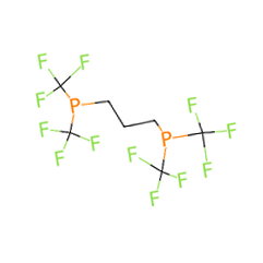 FC(F)(F)P(CCCP(C(F)(F)F)C(F)(F)F)C(F)(F)F